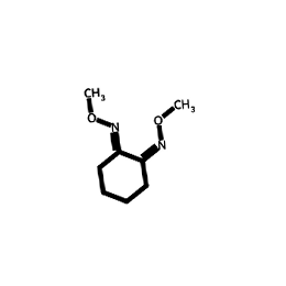 CO/N=C1/CCCC/C1=N\OC